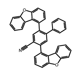 N#Cc1cc(-c2cccc3oc4ccccc4c23)c(-c2ccccc2)cc1-c1cccc2oc3ccccc3c12